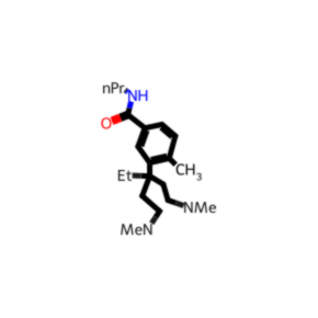 CCCNC(=O)c1ccc(C)c(C(CC)(CCNC)CCNC)c1